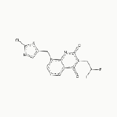 O=c1nc2n(Cc3cnc(Cl)s3)cccc-2c(=O)n1CC(F)F